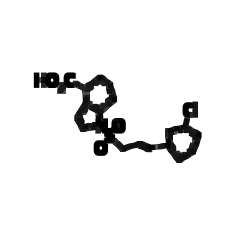 O=C(O)c1cccc2c1ccn2S(=O)(=O)CC=Cc1cccc(Cl)c1